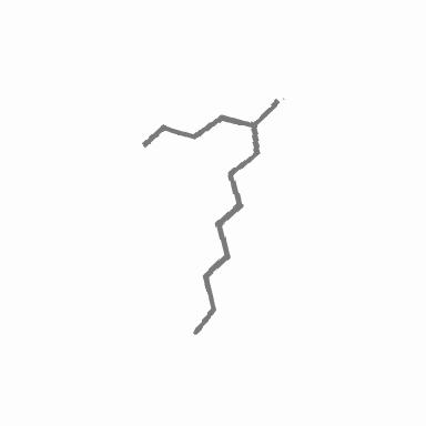 [CH2]C(CCCC)CCCCCCCC